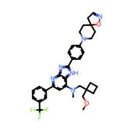 COCC1(CN(C)c2cc(-c3cccc(C(F)(F)F)c3)nc3nc(-c4ccc(N5CCC6(CC=NO6)CC5)cc4)[nH]c23)CCC1